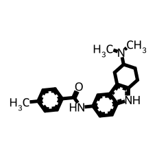 Cc1ccc(C(=O)Nc2ccc3[nH]c4c(c3c2)CC(N(C)C)CC4)cc1